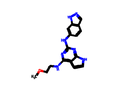 COCCNc1nc(Nc2ccc3cn[nH]c3c2)nc2[nH]ccc12